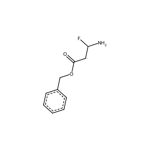 NC(F)[CH]C(=O)OCc1ccccc1